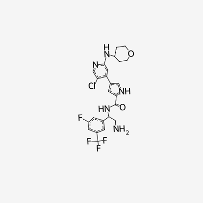 NCC(NC(=O)c1cc(-c2cc(NC3CCOCC3)ncc2Cl)c[nH]1)c1cc(F)cc(C(F)(F)F)c1